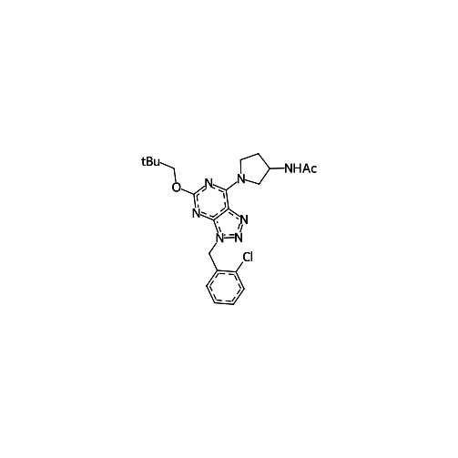 CC(=O)NC1CCN(c2nc(OCC(C)(C)C)nc3c2nnn3Cc2ccccc2Cl)C1